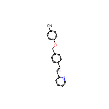 N#Cc1ccc(OCc2ccc(/C=C/c3ccccn3)cc2)cc1